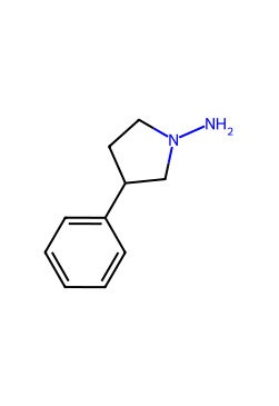 NN1CCC(c2ccccc2)C1